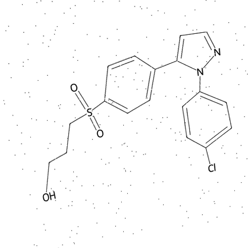 O=S(=O)(CCCO)c1ccc(-c2ccnn2-c2ccc(Cl)cc2)cc1